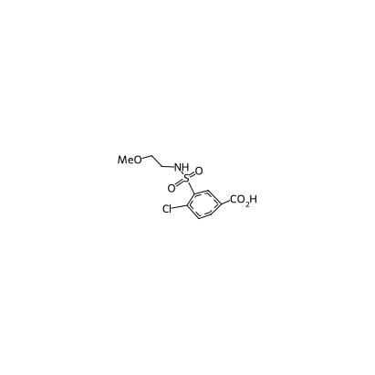 COCCNS(=O)(=O)c1cc(C(=O)O)ccc1Cl